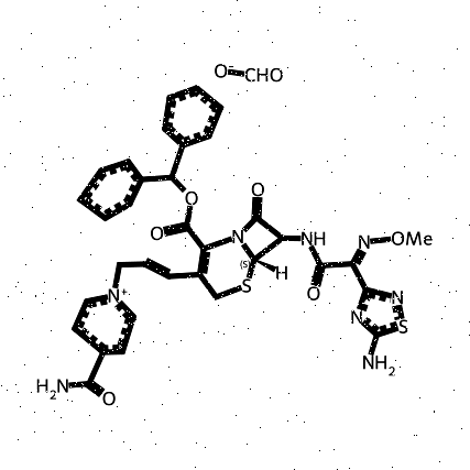 CON=C(C(=O)NC1C(=O)N2C(C(=O)OC(c3ccccc3)c3ccccc3)=C(C=CC[n+]3ccc(C(N)=O)cc3)CS[C@@H]12)c1nsc(N)n1.O=C[O-]